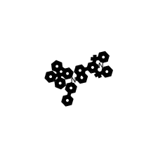 CC1(C)c2ccccc2N2c3ccccc3C(C)(C)c3cc(-c4cccc5c(N(c6ccc(-c7ccccc7)cc6)c6ccc7c(c6)C(c6ccccc6)(c6ccccc6)c6ccccc6-7)cccc45)cc1c32